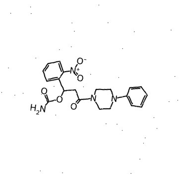 NC(=O)OC(CC(=O)N1CCN(c2ccccc2)CC1)c1ccccc1[N+](=O)[O-]